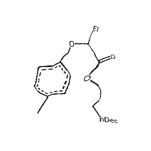 CCCCCCCCCCCCOC(=O)C(CC)Oc1ccc(C)cc1